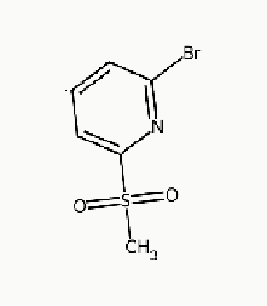 CS(=O)(=O)c1c[c]cc(Br)n1